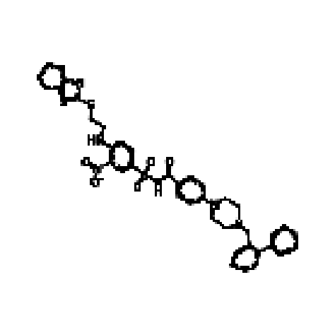 O=C(NS(=O)(=O)c1ccc(NCCSc2nc3ccccc3s2)c([N+](=O)[O-])c1)c1ccc(N2CCN(Cc3ccccc3-c3ccccc3)CC2)cc1